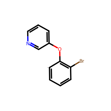 Brc1ccc[c]c1Oc1cccnc1